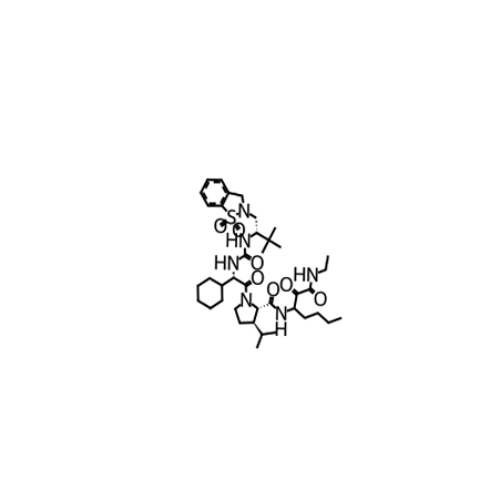 CCCCC(NC(=O)[C@@H]1[C@@H](C(C)C)CCN1C(=O)[C@@H](NC(=O)N[C@H](CN1Cc2ccccc2S1(=O)=O)C(C)(C)C)C1CCCCC1)C(=O)C(=O)NCC